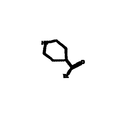 CCC(=O)C1CCNCC1